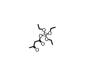 CCO[Si](OCC)(OCC)OC(=O)CC(C)=O